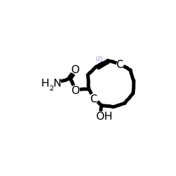 NC(=O)OC1C/C=C\CCCCCCC(O)C1